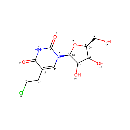 O=c1[nH]c(=O)n([C@H]2O[C@@H](CO)C(O)C2O)cc1CCCl